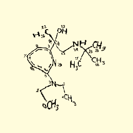 CCN(CC)c1cccc([C@](C)(O)CNC(C)(C)C)n1